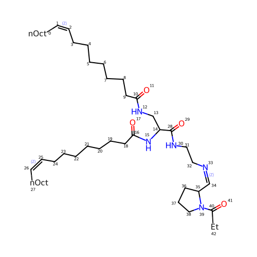 CCCCCCCC/C=C\CCCCCCCC(=O)NCC(NC(=O)CCCCCCC/C=C\CCCCCCCC)C(=O)NCC/N=C\C1CCCN1C(=O)CC